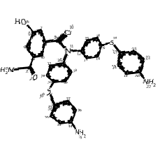 NC(=O)c1cc(O)cc(C(=O)N(c2ccc(Sc3ccc(N)cc3)cc2)c2ccc(Sc3ccc(N)cc3)cc2)c1